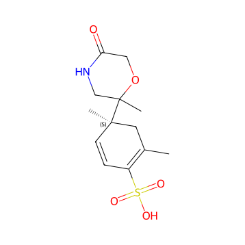 CC1=C(S(=O)(=O)O)C=C[C@@](C)(C2(C)CNC(=O)CO2)C1